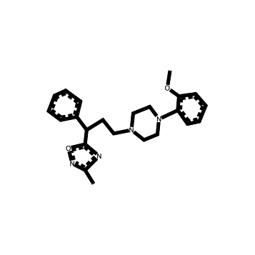 COc1ccccc1N1CCN(CCC(c2ccccc2)c2nc(C)no2)CC1